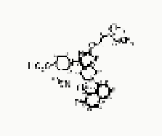 CN(CCOc1nc2c(c(N3CCN(C(=O)O)[C@@H](CC#N)C3)n1)CCN(c1cccc3ccc(F)c(Cl)c13)C2)CC(F)(F)F